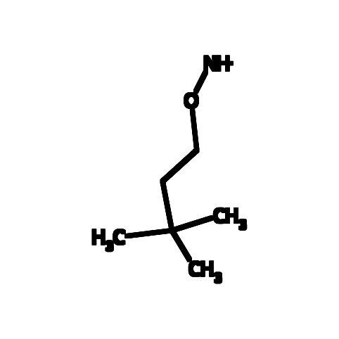 CC(C)(C)CCO[NH]